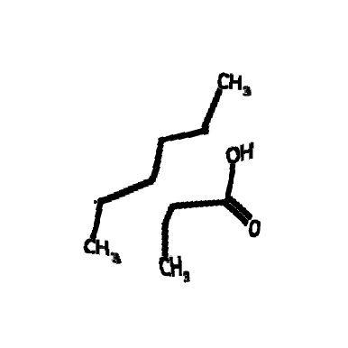 CCC(=O)O.C[CH]CCCC